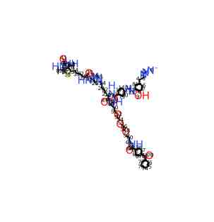 [N-]=[N+]=NCCc1ccc(O)c(/N=N/c2ccc(C(=O)N[C@@H](CCCCn3cc(NC(=O)CCCC[C@H]4SC[C@H]5NC(=O)N[C@H]54)nn3)C(=O)NCCCOCCOCCOCCCNC(=O)c3ccc(C(=O)c4ccccc4)cc3)cc2)c1